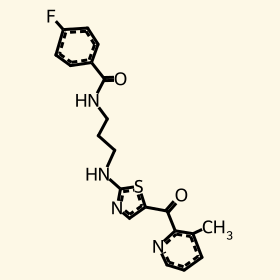 Cc1cccnc1C(=O)c1cnc(NCCCNC(=O)c2ccc(F)cc2)s1